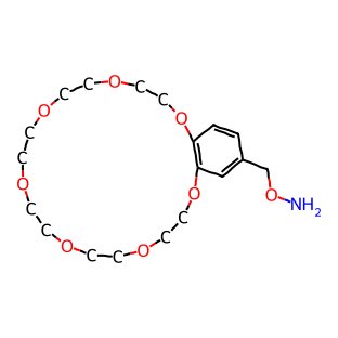 NOCc1ccc2c(c1)OCCOCCOCCOCCOCCOCCO2